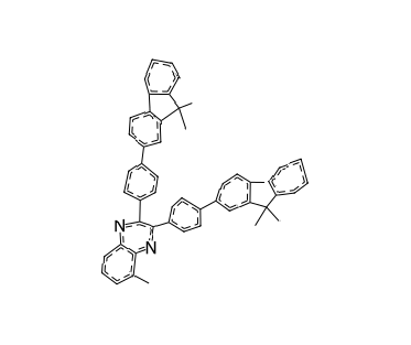 Cc1cccc2nc(-c3ccc(-c4ccc5c(c4)C(C)(C)c4ccccc4-5)cc3)c(-c3ccc(-c4ccc5c(c4)C(C)(C)c4ccccc4-5)cc3)nc12